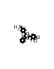 Cc1c(COc2c(C(=O)c3ccc(N)cc3)sc3ccccc23)ccc(Cl)c1Cl